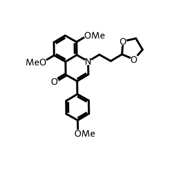 COc1ccc(-c2cn(CCC3OCCO3)c3c(OC)ccc(OC)c3c2=O)cc1